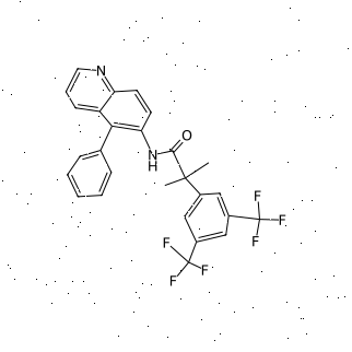 CC(C)(C(=O)Nc1ccc2ncccc2c1-c1ccccc1)c1cc(C(F)(F)F)cc(C(F)(F)F)c1